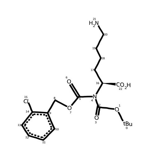 CC(C)(C)OC(=O)N(C(=O)OCc1ccccc1Cl)[C@@H](CCCCN)C(=O)O